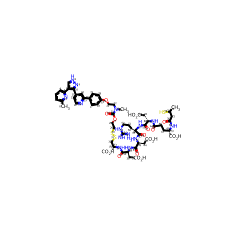 Cc1cccc(-c2c[nH]nc2-c2ccnc(-c3ccc(OCCN(C)C(=O)OCCSSC[C@H](NC(=O)[C@H](CC(=O)O)NC(=O)[C@H](CC(=O)O)NC(=O)[C@H](CCCNC(=N)N)NC(=O)[C@H](CC(=O)O)NC(=O)CC[C@H](NC(=O)CC(C)S)C(=O)O)C(=O)O)cc3)c2)n1